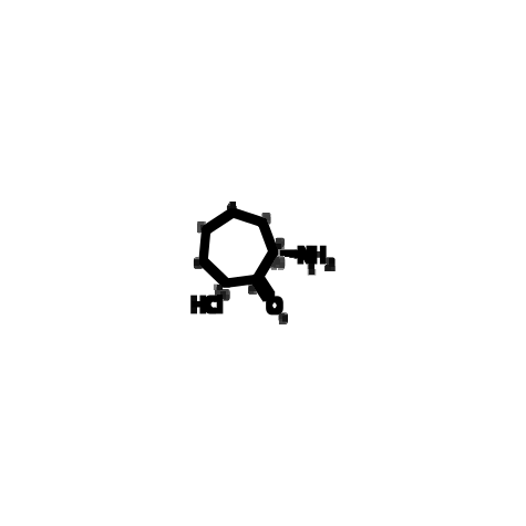 Cl.N[C@H]1CCCCCC1=O